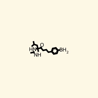 Bc1ccc(CCCC(=O)C(C)(CC(C)C)NC(C)=N)cc1